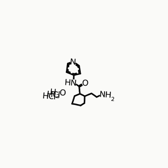 Cl.Cl.NCCC1CCCCC1C(=O)Nc1ccncc1.O